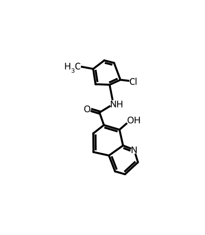 Cc1ccc(Cl)c(NC(=O)c2ccc3cccnc3c2O)c1